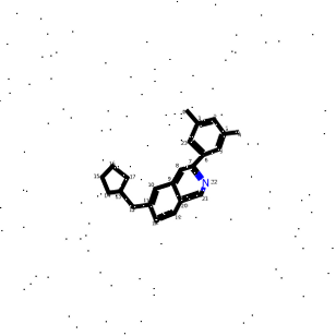 Cc1cc(C)cc(-c2cc3cc(CC4CCCC4)ccc3cn2)c1